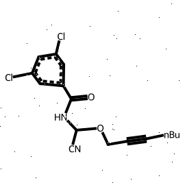 CCCCC#CCOC(C#N)NC(=O)c1cc(Cl)cc(Cl)c1